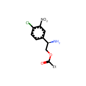 CCC(=O)OC[C@H](N)c1ccc(Cl)c([N+](=O)[O-])c1